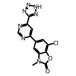 Cn1c(=O)oc2c(Cl)cc(-c3cc(-c4nn[nH]n4)ncn3)cc21